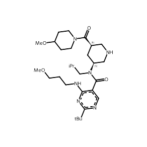 COCCCNc1nc(C(C)(C)C)ncc1C(=O)N(CC(C)C)[C@@H]1CNC[C@H](C(=O)N2CCC(OC)CC2)C1